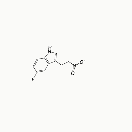 O=[N+]([O-])CCc1c[nH]c2ccc(F)cc12